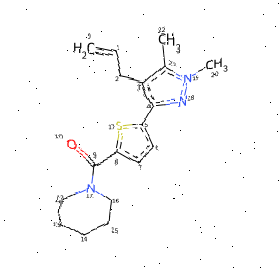 C=CCc1c(-c2ccc(C(=O)N3CCCCC3)s2)nn(C)c1C